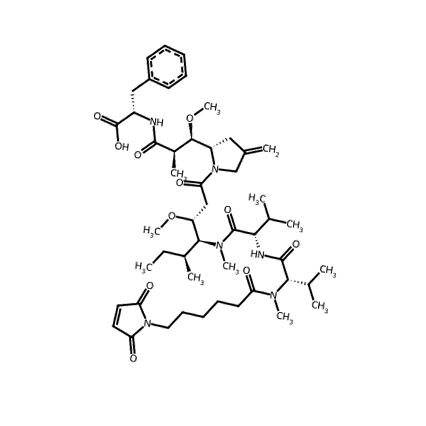 C=C1C[C@@H]([C@H](OC)[C@@H](C)C(=O)N[C@@H](Cc2ccccc2)C(=O)O)N(C(=O)C[C@@H](OC)[C@H]([C@@H](C)CC)N(C)C(=O)[C@@H](NC(=O)[C@H](C(C)C)N(C)C(=O)CCCCCN2C(=O)C=CC2=O)C(C)C)C1